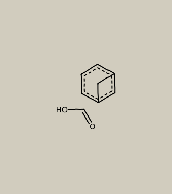 O=CO.c1cc2cc(c1)C2